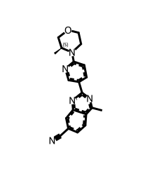 Cc1nc(-c2ccc(N3CCOC[C@@H]3C)nc2)nc2cc(C#N)ccc12